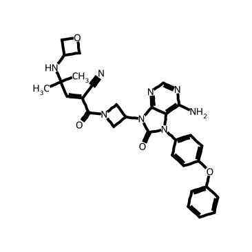 CC(C)(C=C(C#N)C(=O)N1CC(n2c(=O)n(-c3ccc(Oc4ccccc4)cc3)c3c(N)ncnc32)C1)NC1COC1